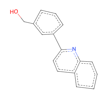 OCc1cccc(-c2ccc3ccccc3n2)c1